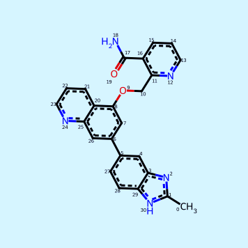 Cc1nc2cc(-c3cc(OCc4ncccc4C(N)=O)c4cccnc4c3)ccc2[nH]1